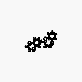 [c]1ccc2c(c1)OC(c1ccc3c(c1)OCCO3)CCO2